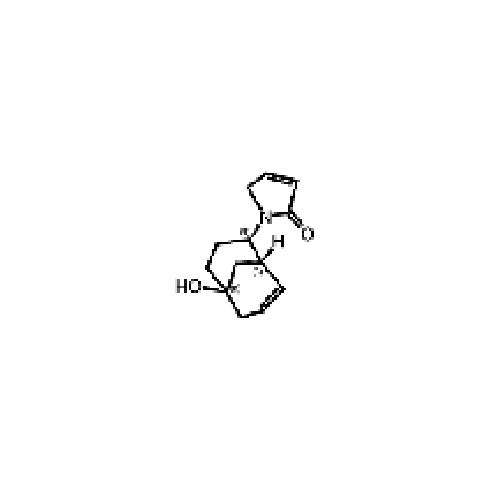 O=C1C=CCN1[C@@H]1CC[C@@]2(O)CC=C[C@@H]1C2